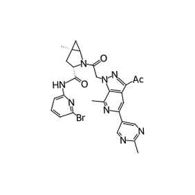 CC(=O)c1nn(CC(=O)N2C3C[C@]3(C)C[C@H]2C(=O)Nc2cccc(Br)n2)c2c(C)nc(-c3cnc(C)nc3)cc12